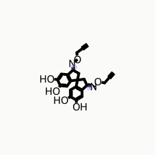 C#CCO/N=C1\CC2(C/C(=N\OCC#C)c3cc(O)c(O)cc32)c2cc(O)c(O)cc21